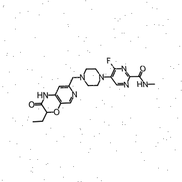 CCC1Oc2cnc(CN3CCN(c4cnc(C(=O)NC)nc4F)CC3)cc2NC1=O